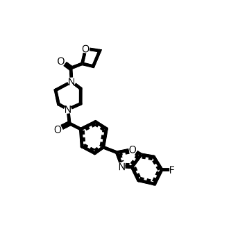 O=C(c1ccc(-c2nc3ccc(F)cc3o2)cc1)N1CCN(C(=O)C2CCO2)CC1